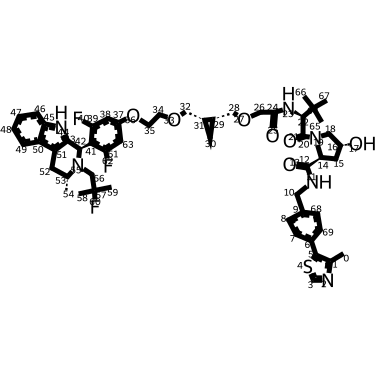 Cc1ncsc1-c1ccc(CNC(=O)[C@@H]2C[C@@H](O)CN2C(=O)[C@@H](NC(=O)COC[C@@H]2C[C@@H]2COCCOc2cc(F)c([C@@H]3c4[nH]c5ccccc5c4C[C@@H](C)N3CC(C)(C)F)c(F)c2)C(C)(C)C)cc1